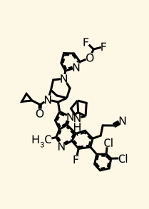 Cc1nc2c(F)c(-c3cccc(Cl)c3Cl)c(CCC#N)cc2c2c1cc(C1C3CC(CN(c4cccc(OC(F)F)n4)C3)N1C(=O)C1CC1)n2C1C2CNC1C2